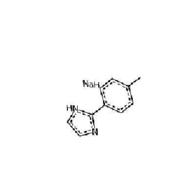 Cc1ccc(-c2ncc[nH]2)cc1.[NaH]